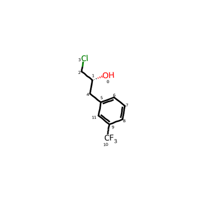 O[C@@H](CCl)Cc1cccc(C(F)(F)F)c1